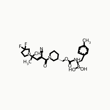 Cc1ccc(C[C@H](NC(=O)OC[C@H]2CCCN(C(=O)/C(C#N)=C/C(C)(C)N3CCC(F)(F)C3)C2)B(O)O)cc1